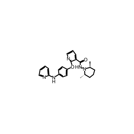 C[C@H]1CCC[C@H](C)N1NC(=O)c1cccnc1Oc1ccc(Nc2ccccn2)cc1